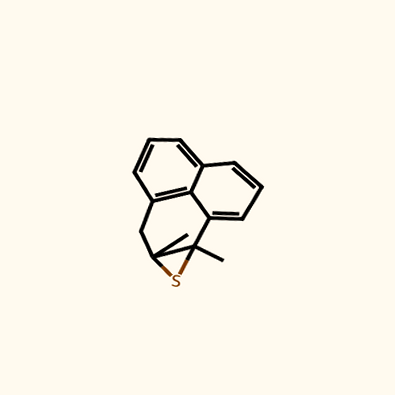 CC12Cc3cccc4cccc(c34)C1(C)S2